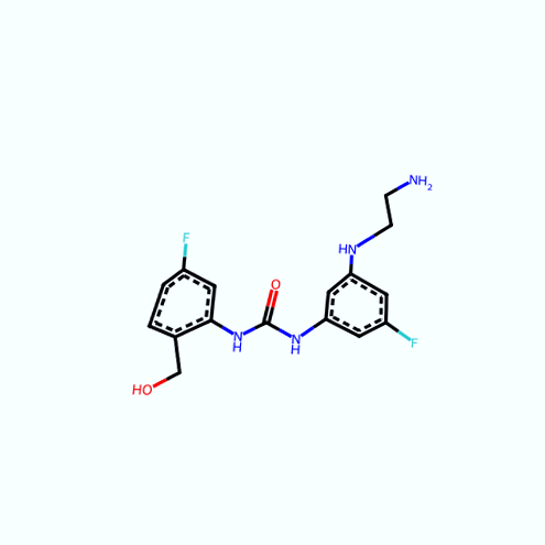 NCCNc1cc(F)cc(NC(=O)Nc2cc(F)ccc2CO)c1